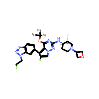 [2H]C([2H])([2H])Oc1nc(N[C@H]2CCN(C3COC3)C[C@H]2F)nn2cc(F)c(-c3ccc4nnn(CCF)c4c3)c12